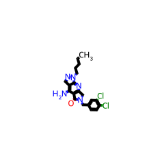 CCCCCn1ncc2c(N)c3c(nc21)CN(Cc1ccc(Cl)c(Cl)c1)C3=O